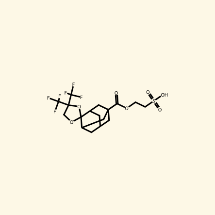 O=C(OCCS(=O)(=O)O)C12CC3CC(C1)C1(OCC(C(F)(F)F)(C(F)(F)F)O1)C(C3)C2